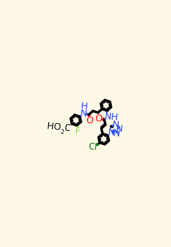 O=C(C=Cc1cc(Cl)ccc1-n1cnnn1)Nc1ccccc1CCC(=O)Nc1ccc(C(=O)O)c(F)c1